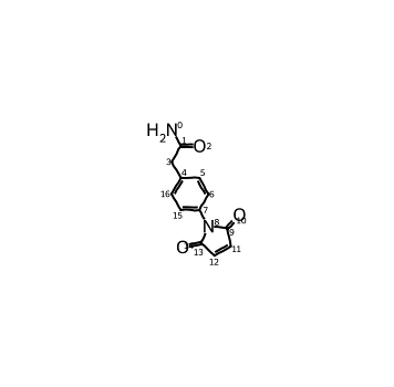 NC(=O)Cc1ccc(N2C(=O)C=CC2=O)cc1